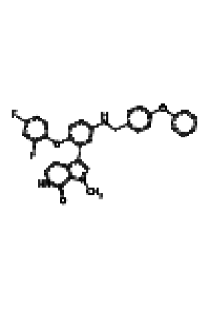 Cn1cc(-c2cc(NCc3ccc(Oc4ccccc4)cc3)ccc2Oc2ccc(F)cc2F)c2cc[nH]c(=O)c21